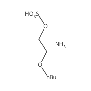 CCCCOCCOS(=O)(=O)O.N